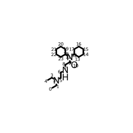 CCN(CC)CCNCC(=O)N(C1CCCCC1)C1CCCCC1